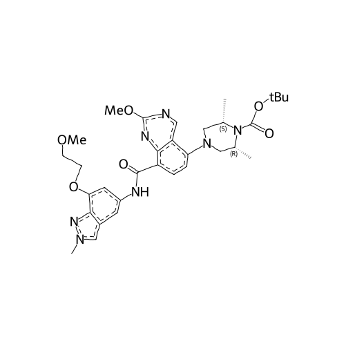 COCCOc1cc(NC(=O)c2ccc(N3C[C@@H](C)N(C(=O)OC(C)(C)C)[C@@H](C)C3)c3cnc(OC)nc23)cc2cn(C)nc12